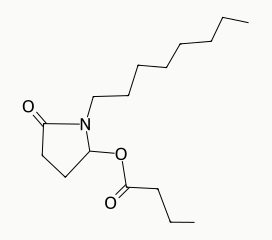 CCCCCCCCN1C(=O)CCC1OC(=O)CCC